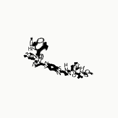 COC(=O)N[C@H](C(=O)N1C[Si](C)(C)C[C@H]1c1ncc(-c2nc3cc4sc(-c5cnc([C@@H]6C[Si](C)(C)CN6C(=O)[C@@H](NC(=O)OC)C(C)C)[nH]5)nc4cc3s2)[nH]1)C(C)C